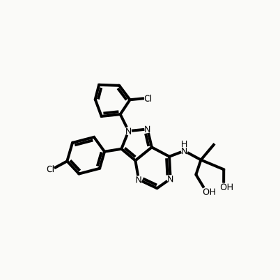 CC(CO)(CO)Nc1ncnc2c(-c3ccc(Cl)cc3)n(-c3ccccc3Cl)nc12